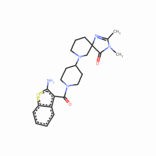 CC1=NC2(CCCN(C3CCN(C(=O)c4c(N)sc5ccccc45)CC3)C2)C(=O)N1C